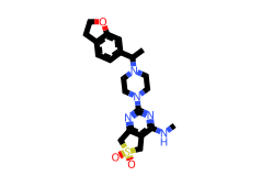 CNc1nc(N2CCN(C(C)c3ccc4c(c3)OCC4)CC2)nc2c1CS(=O)(=O)C2